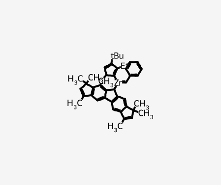 CCC1=[C]([Zr](=[CH]c2ccccc2)[CH]2c3cc4c(cc3-c3cc5c(cc32)C(C)(C)C=C5C)C(C)=CC4(C)C)C(C)C=C1C(C)(C)C